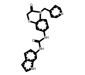 O=C(Nc1ccc2c(c1)OCC(=O)N2Cc1ccncc1)Nc1ccc2cc[nH]c2c1